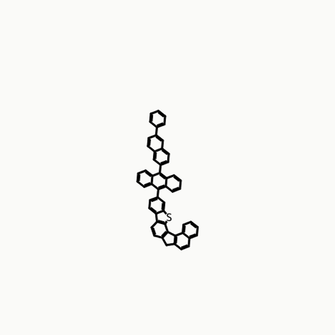 c1ccc(-c2ccc3cc(-c4c5ccccc5c(-c5ccc6c(c5)sc5c7c(ccc56)Cc5ccc6ccccc6c5-7)c5ccccc45)ccc3c2)cc1